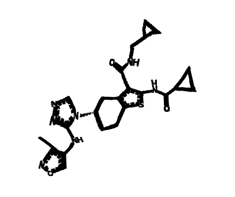 Cc1nocc1Nc1nncn1[C@H]1CCc2sc(NC(=O)C3CC3)c(C(=O)NCC3CC3)c2C1